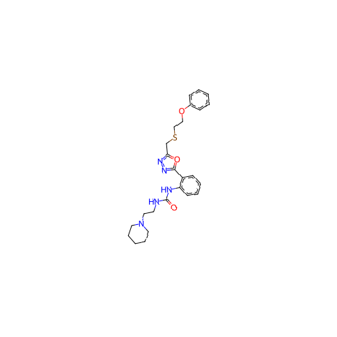 O=C(NCCN1CCCCC1)Nc1ccccc1-c1nnc(CSCCOc2ccccc2)o1